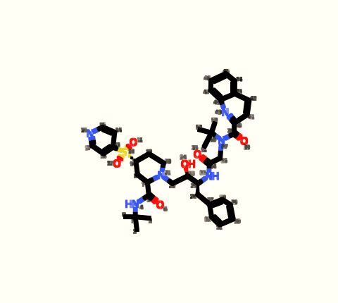 CC(C)(C)NC(=O)C1C[C@H](S(=O)(=O)c2ccncc2)CCN1C[C@@H](O)[C@H](Cc1ccccc1)NC(=O)CN(C(=O)c1ccc2ccccc2n1)C(C)(C)C